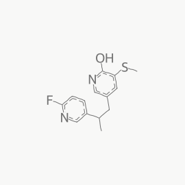 CSc1cc(CC(C)c2ccc(F)nc2)cnc1O